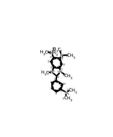 CN(C)c1cccc(C2N(C)c3cc(N(C)C)c(N(C)C)cc3N2C)c1